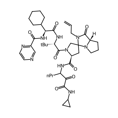 C=CCN1C(=O)[C@@H]2CCCN2C12C[C@@H](C(=O)NC(CCC)C(=O)C(=O)NC1CC1)N(C(=O)[C@@H](NC(=O)[C@@H](NC(=O)c1cnccn1)C1CCCCC1)C(C)(C)C)C2